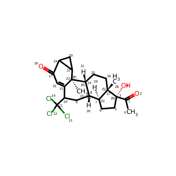 CC(=O)[C@@]1(O)CC[C@H]2[C@@H]3CC(C(Cl)(Cl)Cl)C4=CC(=O)C5CC5[C@@]4(C)[C@@H]3CC[C@@]21C